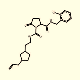 C=CCC1CCC(CCNC(=O)N2C(=O)CCC2C(=O)NCc2ccccc2Cl)C1